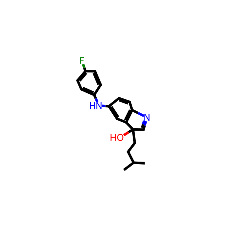 CC(C)CCC1(O)C=Nc2ccc(Nc3ccc(F)cc3)cc21